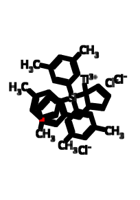 Cc1cc(C)cc([Si](c2cc(C)cc(C)c2)(c2cc(C)cc(C)c2)[C]2([Ti+3])C=CC=C2Cc2ccccc2)c1.[Cl-].[Cl-].[Cl-]